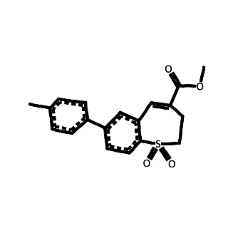 COC(=O)C1=Cc2cc(-c3ccc(C)cc3)ccc2S(=O)(=O)CC1